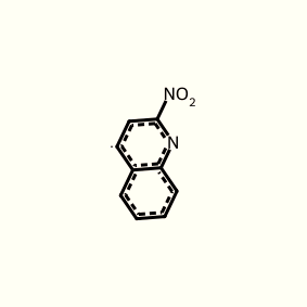 O=[N+]([O-])c1c[c]c2ccccc2n1